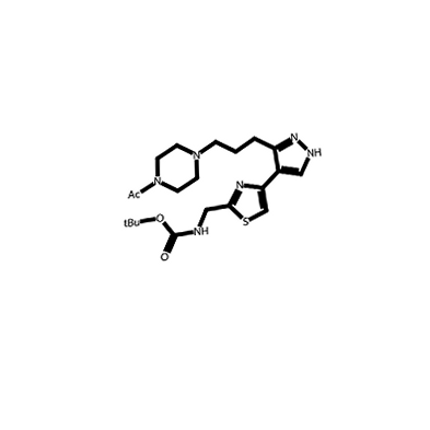 CC(=O)N1CCN(CCCc2n[nH]cc2-c2csc(CNC(=O)OC(C)(C)C)n2)CC1